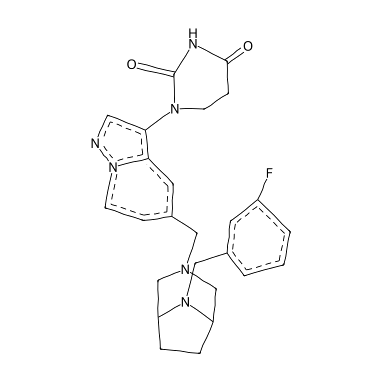 O=C1CCN(c2cnn3ccc(CN4CC5CCC(C4)N5Cc4cccc(F)c4)cc23)C(=O)N1